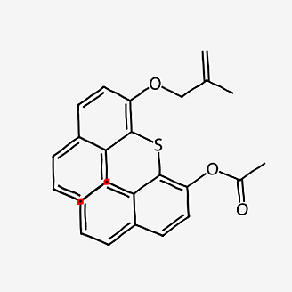 C=C(C)COc1ccc2ccccc2c1Sc1c(OC(C)=O)ccc2ccccc12